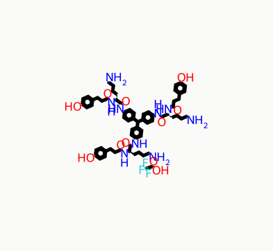 NCCCC[C@@H](NC(=O)CCc1ccc(O)cc1)C(=O)Nc1ccc(C(c2ccc(NC(=O)[C@@H](CCCCN)NC(=O)CCc3ccc(O)cc3)cc2)c2ccc(NC(=O)[C@@H](CCCCN)NC(=O)CCc3ccc(O)cc3)cc2)cc1.O=C(O)C(F)(F)F